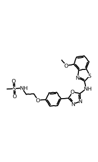 COc1cccc2sc(Nc3nnc(-c4ccc(OCCNS(C)(=O)=O)cc4)o3)nc12